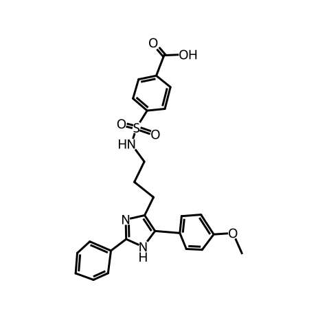 COc1ccc(-c2[nH]c(-c3ccccc3)nc2CCCNS(=O)(=O)c2ccc(C(=O)O)cc2)cc1